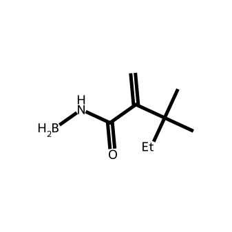 BNC(=O)C(=C)C(C)(C)CC